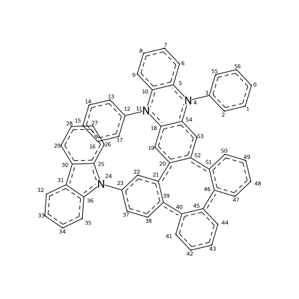 c1ccc(-n2c3ccccc3n(-c3ccccc3)c3cc4c5cc(-n6c7ccccc7c7ccccc76)ccc5c5ccccc5c5ccccc5c4cc32)cc1